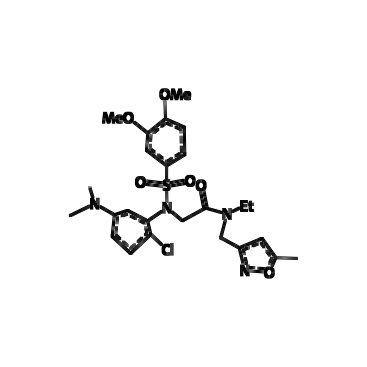 CCN(Cc1cc(C)on1)C(=O)CN(c1cc(N(C)C)ccc1Cl)S(=O)(=O)c1ccc(OC)c(OC)c1